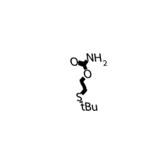 CC(C)(C)SCCOC(N)=O